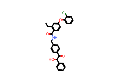 CCc1cc(Oc2ccccc2Cl)ccc1C(=O)NCc1ccc(C(=O)C(O)c2ccccc2)cc1